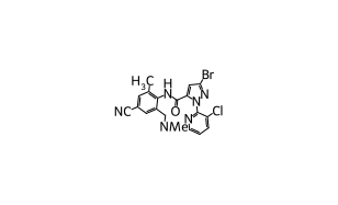 CNCc1cc(C#N)cc(C)c1NC(=O)c1cc(Br)nn1-c1ncccc1Cl